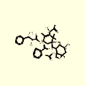 CC(=O)O[C@@]12CO[C@@H]1C[C@H](O)[C@H](C)C2[C@H](CC(=O)c1ccccc1)[C@]1(O)C[C@H](OC(=O)[C@H](O)[C@@H](N)c2ccccc2)C(C)=C([C@@H](O)C(C)=O)C1(C)C